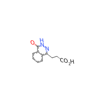 O=C(O)CCc1n[nH]c(=O)c2ccccc12